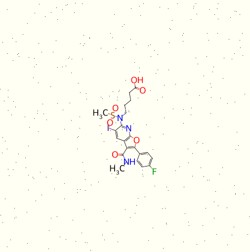 CNC(=O)c1c(-c2ccc(F)cc2)oc2nc(N(CCCCC(=O)O)S(C)(=O)=O)c(I)cc12